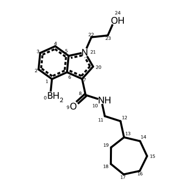 Bc1cccc2c1c(C(=O)NCCC1CCCCCC1)cn2CCO